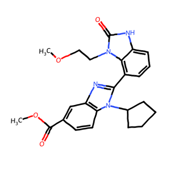 COCCn1c(=O)[nH]c2cccc(-c3nc4cc(C(=O)OC)ccc4n3C3CCCC3)c21